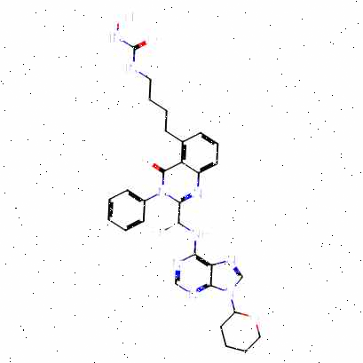 CC[C@H](Nc1ncnc2c1ncn2C1CCCCO1)c1nc2cccc(CCCCNC(=O)NO)c2c(=O)n1-c1ccccc1